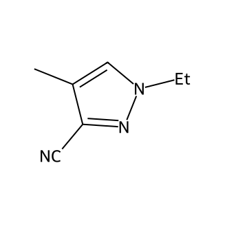 CCn1cc(C)c(C#N)n1